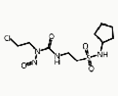 O=NN(CCCl)C(=O)NCCS(=O)(=O)NC1CCCC1